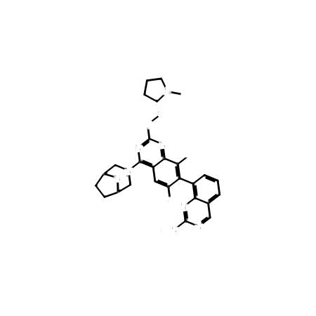 CN1CCC[C@H]1COc1nc(N2CC3CCC(C2)N3)c2cc(Cl)c(-c3cccc4cnc(N)nc34)c(F)c2n1